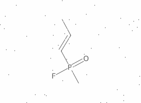 CC=CP(C)(=O)F